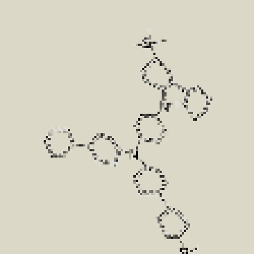 C[Si](C)(C)c1ccc(-c2ccc(N(c3ccc(-c4ccccc4)cc3)c3ccc(-n4c5ccccc5c5cc([Si](C)(C)C)ccc54)cc3)cc2)cc1